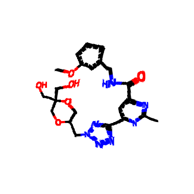 COc1cccc(CNC(=O)c2cc(-c3nnn(CC4COC(CO)(CO)CO4)n3)nc(C)n2)c1